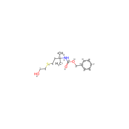 CC(C)(CCSCCO)NC(=O)OCc1ccccc1